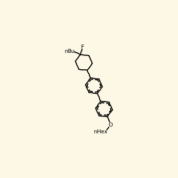 CCCCCCOc1ccc(-c2ccc(C3CCC(F)(CCCC)CC3)cc2)cc1